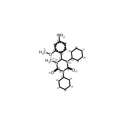 COc1cc(N)ccc1C1N(C)C(=O)N(C2CCCCC2)C(=O)N1C1CCCCC1